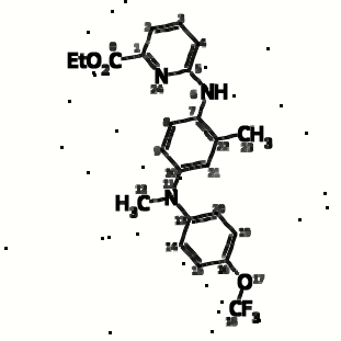 CCOC(=O)c1cccc(Nc2ccc(N(C)c3ccc(OC(F)(F)F)cc3)cc2C)n1